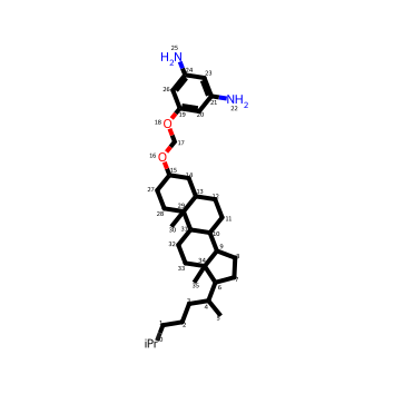 CC(C)CCCC(C)C1CCC2C3CCC4CC(OCOc5cc(N)cc(N)c5)CCC4(C)C3CCC12C